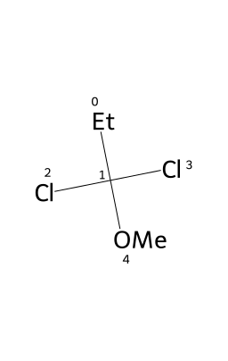 [CH2]CC(Cl)(Cl)OC